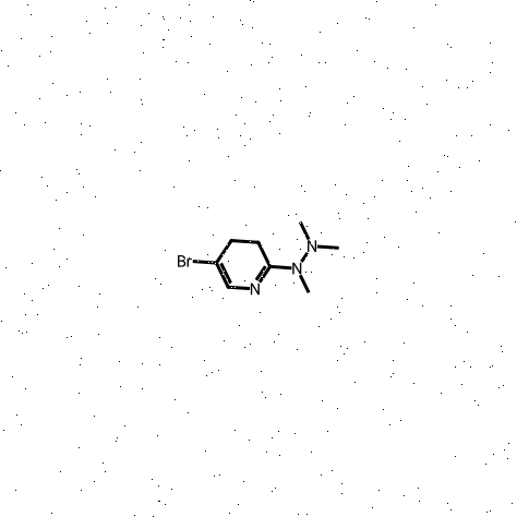 CN(C)N(C)C1=NC=C(Br)CC1